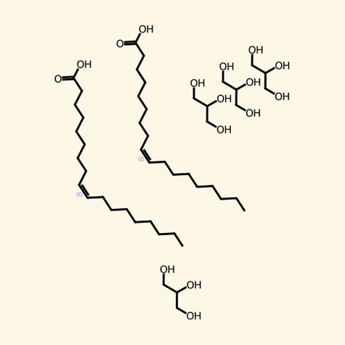 CCCCCCCC/C=C\CCCCCCCC(=O)O.CCCCCCCC/C=C\CCCCCCCC(=O)O.OCC(O)CO.OCC(O)CO.OCC(O)CO.OCC(O)CO